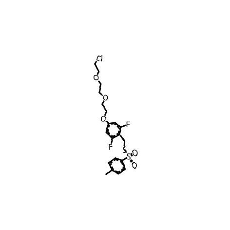 Cc1ccc(S(=O)(=O)SCc2c(F)cc(OCCOCCOCCCl)cc2F)cc1